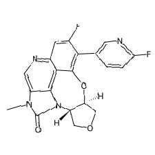 Cn1c(=O)n2c3c4c(c(-c5ccc(F)nc5)c(F)cc4ncc31)O[C@H]1COC[C@@H]12